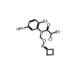 CCCc1ccc(CC)c(N(CON=C2CCC2)C(=O)C(Cl)CC)c1